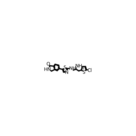 N[C@H](CNc1ncc(-c2ccc3c(c2)CNC3=O)s1)CC1CC=C(Cl)S1